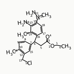 CCOC(=O)CC(c1ccc(C)c(CCl)c1)c1ccc(N(C)N)c(N)c1C